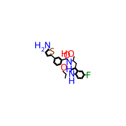 CCCOc1ccc(-c2ccc(N)s2)cc1C(=O)NC(CO)Cc1c[nH]c2ccc(F)cc12